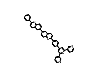 c1ccc(-c2ccc3cc(-c4ccc5nc(-c6ccc(-c7cc(-c8cccnc8)nc(-c8cccnc8)c7)cc6)ccc5c4)ccc3n2)cc1